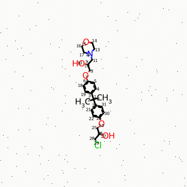 CC(C)(c1ccc(OC[C@@H](O)CN2CCOCC2)cc1)c1ccc(OC[C@@H](O)CCl)cc1